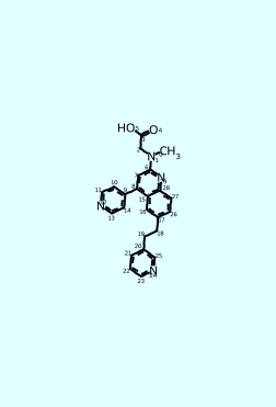 CN(CC(=O)O)c1cc(-c2ccncc2)c2cc(CCc3cccnc3)ccc2n1